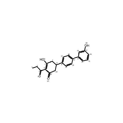 CCC(=O)C1=C(O)CC(c2ccc(-c3cccc(O)c3)cc2)CC1=O